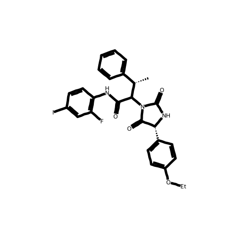 CCOc1ccc([C@H]2NC(=O)N(C(C(=O)Nc3ccc(I)cc3F)[C@@H](C)c3ccccc3)C2=O)cc1